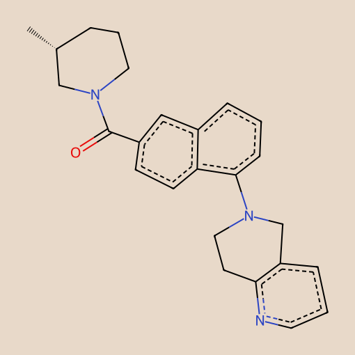 C[C@@H]1CCCN(C(=O)c2ccc3c(N4CCc5ncccc5C4)cccc3c2)C1